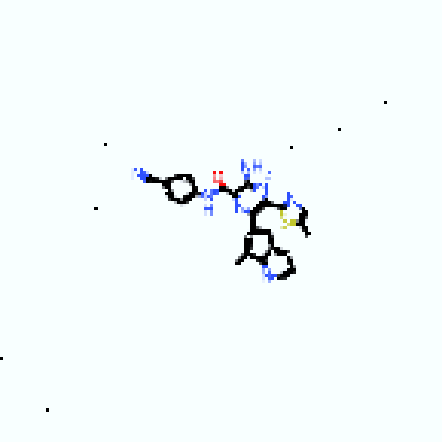 Cc1cnc(-c2nc(N)c(C(=O)Nc3ccc(C#N)cc3)nc2-c2cc(C)c3ncccc3c2)s1